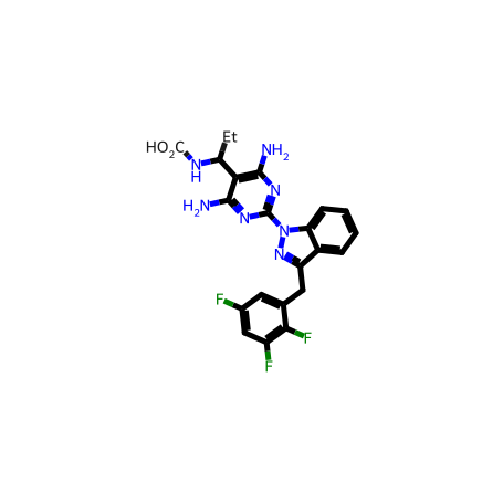 CCC(NC(=O)O)c1c(N)nc(-n2nc(Cc3cc(F)cc(F)c3F)c3ccccc32)nc1N